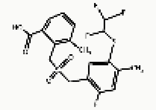 Cc1cc(F)c(CS(=O)(=O)Cc2c(C)cccc2C(=O)O)cc1SC(F)C(F)F